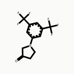 O=C1CCN(c2cc(C(F)(F)F)cc(C(F)(F)F)c2)C1